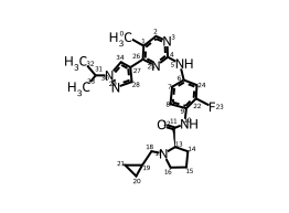 Cc1cnc(Nc2ccc(NC(=O)[C@H]3CCCN3CC3CC3)c(F)c2)nc1-c1cnn(C(C)C)c1